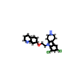 Clc1cc(Cl)c2c(c1)c1c(n2CCOc2ccc3cccnc3c2)CCNCC1